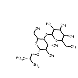 N[C@@H](CO[C@@H]1OC(CO)[C@@H](O[C@@H]2OC(CO)[C@H](O)C(O)[C@@H]2O)[C@H](O)C1O)C(=O)O